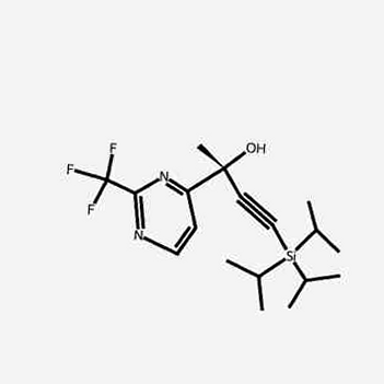 CC(C)[Si](C#C[C@@](C)(O)c1ccnc(C(F)(F)F)n1)(C(C)C)C(C)C